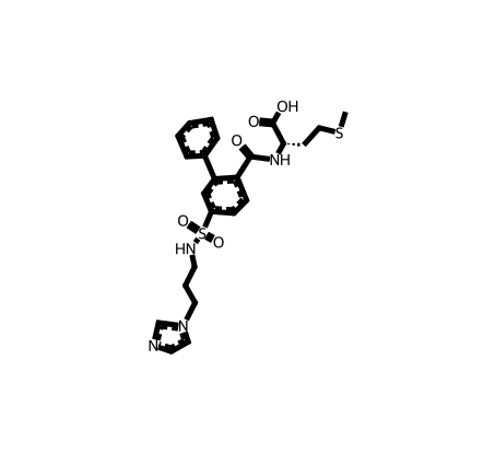 CSCC[C@H](NC(=O)c1ccc(S(=O)(=O)NCCCn2ccnc2)cc1-c1ccccc1)C(=O)O